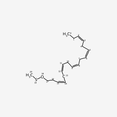 CC/C=C\C/C=C\C/C=C\C/C=C\C/C=C\CCOSC